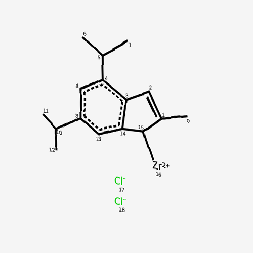 CC1=Cc2c(C(C)C)cc(C(C)C)cc2[CH]1[Zr+2].[Cl-].[Cl-]